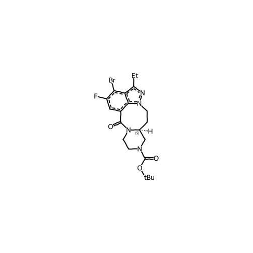 CCc1nn2c3c(cc(F)c(Br)c13)C(=O)N1CCN(C(=O)OC(C)(C)C)C[C@@H]1CC2